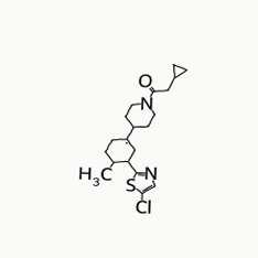 CC1CC[C](C2CCN(C(=O)CC3CC3)CC2)CC1c1ncc(Cl)s1